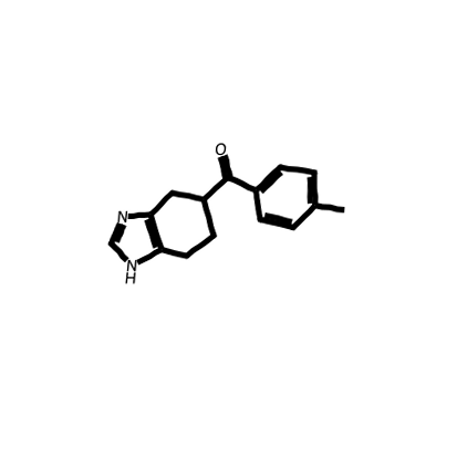 Cc1ccc(C(=O)C2CCc3[nH]cnc3C2)cc1